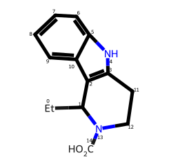 CCC1c2c([nH]c3ccccc23)CCN1C(=O)O